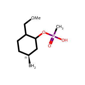 B[C@H]1CCC(COC)C(OP(C)(=O)O)C1